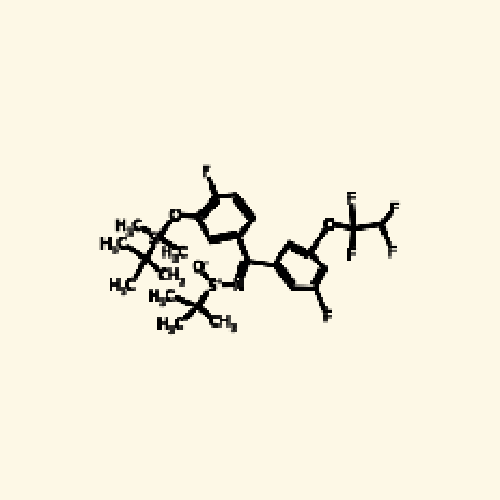 CC(C)(C)[S+]([O-])N=C(c1cc(F)cc(OC(F)(F)C(F)F)c1)c1ccc(F)c(O[Si](C)(C)C(C)(C)C)c1